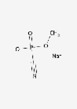 COP(=O)([O-])C#N.[Na+]